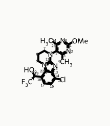 COc1nc(C)c(N2CCCn3c2nc2c(Cl)ccc(C(O)C(F)(F)F)c23)c(C)n1